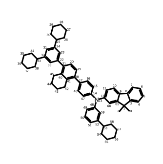 CC1(C)c2ccccc2-c2ccc(N(c3ccc(-c4ccc(-c5cc(C6CCCCC6)cc(C6CCCCC6)c5)c5c4CCCC5)cc3)c3cccc(C4CCCCC4)c3)cc21